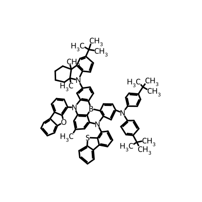 Cc1cc2c3c(c1)N(c1cccc4c1sc1ccccc14)c1cc(N(c4ccc(C(C)(C)C)cc4)c4ccc(C(C)(C)C)cc4)ccc1B3c1ccc(N3c4ccc(C(C)(C)C)cc4C4(C)CCCCC34C)cc1N2c1cccc2c1oc1ccccc12